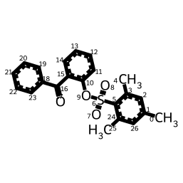 Cc1cc(C)c(S(=O)(=O)Oc2ccccc2C(=O)c2ccccc2)c(C)c1